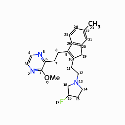 COc1nccnc1CCC1=C(CCN2CCC(F)C2)Cc2cc(C)ccc21